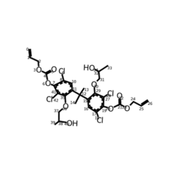 C=CCOC(=O)Oc1c(Cl)cc(C(C)(C)c2cc(Cl)c(OC(=O)OCC=C)c(Cl)c2OCC(C)O)c(OCC(C)O)c1Cl